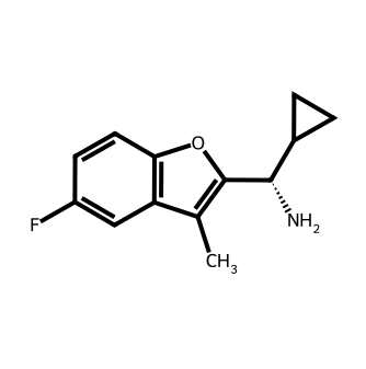 Cc1c([C@@H](N)C2CC2)oc2ccc(F)cc12